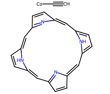 C#[C][Co].C1=Cc2cc3ccc(cc4nc(cc5ccc(cc1n2)[nH]5)C=C4)[nH]3